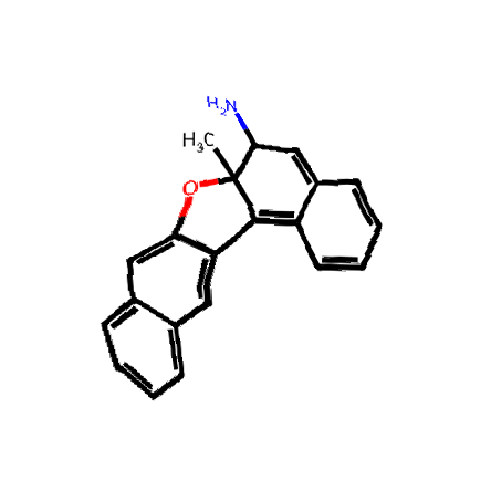 CC12Oc3cc4ccccc4cc3C1=c1ccccc1=CC2N